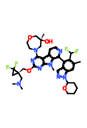 Cc1cc2c(cnn2C2CCCCO2)c(-c2nccc3c4c(N5CCOC[C@@](C)(O)C5)nc(OC[C@]5(CN(C)C)CC5(F)F)nc4n(C)c23)c1C(F)F